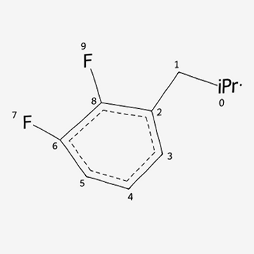 C[C](C)Cc1cccc(F)c1F